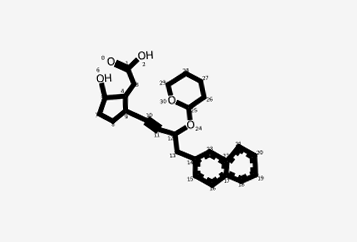 O=C(O)CC1C(O)CCC1C#CC(Cc1ccc2ccccc2c1)OC1CCCCO1